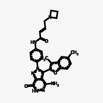 Cc1ccc2oc(-c3c4c(N)n[nH]c(=O)c4nn3-c3ccc(NC(=O)/C=C/CN4CCC4)cc3)c(C)c2c1